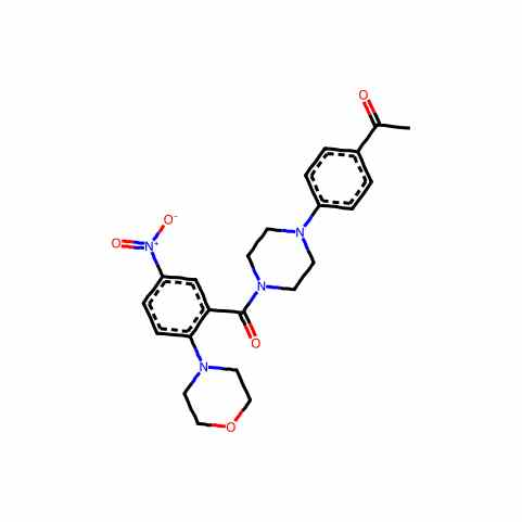 CC(=O)c1ccc(N2CCN(C(=O)c3cc([N+](=O)[O-])ccc3N3CCOCC3)CC2)cc1